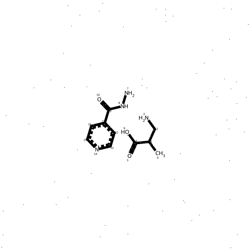 CC(CN)C(=O)O.NNC(=O)c1ccncc1